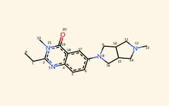 CCc1nc2ccc(N3CC4CN(C)CC4C3)cc2c(=O)n1C